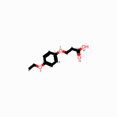 CCOc1ccc(OCCC(=O)O)cc1